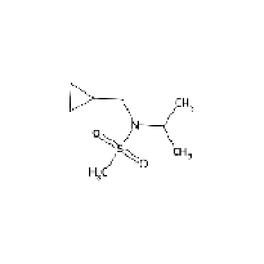 CC(C)N(CC1CC1)S(C)(=O)=O